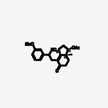 COc1cccc(C(CC2=C3CC[C@H](OC(C)=O)[C@@]3(C)CCC2=O)[N+](=O)[O-])c1